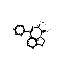 CC1N=C(c2ccccc2)c2cccc3c2N(CC3)C1=O